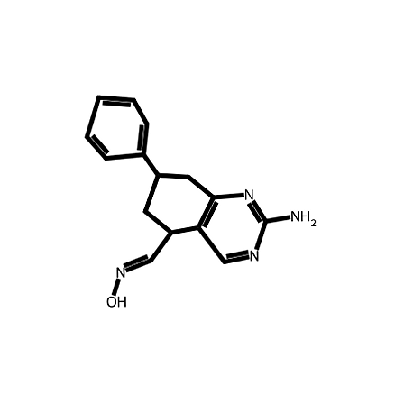 Nc1ncc2c(n1)CC(c1ccccc1)CC2C=NO